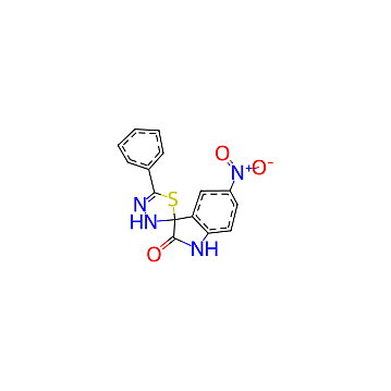 O=C1Nc2ccc([N+](=O)[O-])cc2C12NN=C(c1ccccc1)S2